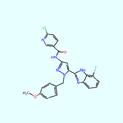 COc1ccc(Cn2nc(NC(=O)c3ccc(Cl)nc3)cc2-c2nc3cccc(F)c3[nH]2)cc1